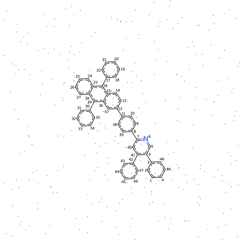 c1ccc(-c2cnc(-c3ccc(-c4ccc5c(-c6ccccc6)c6ccccc6c(-c6ccccc6)c5c4)cc3)cc2-c2ccccc2)cc1